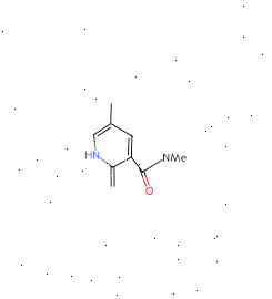 C=C1NC=C(C)C=C1C(=O)NC